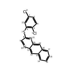 Clc1ccc(Cl)c(Sc2cnc3cc4ccccc4cc3n2)c1